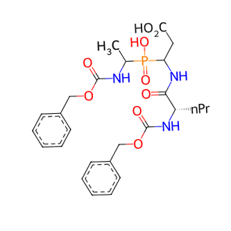 CCC[C@H](NC(=O)OCc1ccccc1)C(=O)NC(CC(=O)O)P(=O)(O)C(C)NC(=O)OCc1ccccc1